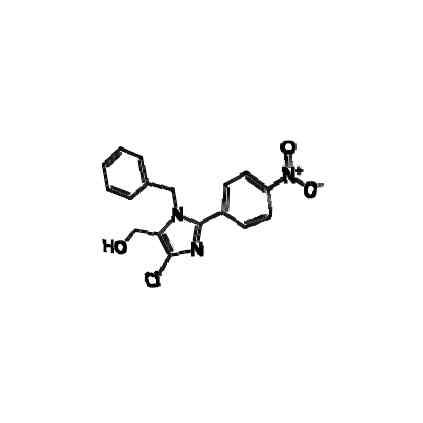 O=[N+]([O-])c1ccc(-c2nc(Cl)c(CO)n2Cc2ccccc2)cc1